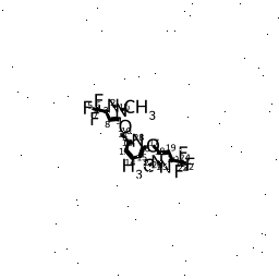 Cn1nc(C(F)(F)F)cc1OCc1cccc(Oc2cc(C(F)(F)F)nn2C)n1